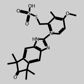 COc1cc[n+](-c2nc3cc4c(cc3[nH]2)C(C)(C)C(=O)C4(C)C)c(CSS(=O)(=O)O)c1C